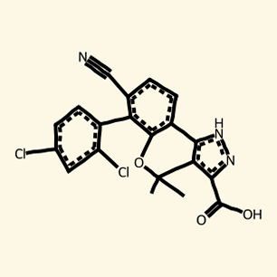 CC1(C)Oc2c(ccc(C#N)c2-c2ccc(Cl)cc2Cl)-c2[nH]nc(C(=O)O)c21